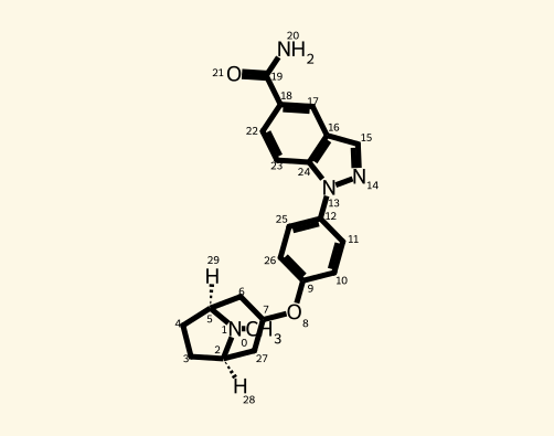 CN1[C@@H]2CC[C@H]1CC(Oc1ccc(-n3ncc4cc(C(N)=O)ccc43)cc1)C2